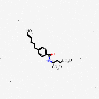 CCOC(=O)CC[C@H](NC(=O)c1ccc(CCCC=C[N+](=O)[O-])cc1)C(=O)OCC